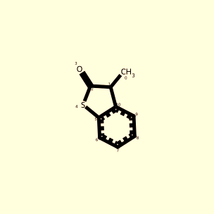 CC1C(=O)Sc2ccccc21